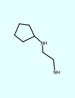 [NH]CCNC1CCCC1